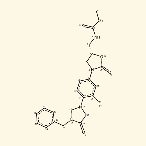 COC(=S)NC[C@H]1CN(c2ccc(N3CC(=O)N(Cc4ccccc4)C3)c(F)c2)C(=O)O1